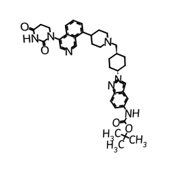 CC(C)(C)OC(=O)Nc1ccc2nn([C@H]3CC[C@H](CN4CCC(c5cccc6c(N7CCC(=O)NC7=O)cncc56)CC4)CC3)cc2c1